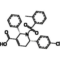 Cc1ccccc1S(=O)(=O)N1[C@@H](c2ccccc2)C(C(=O)O)=CC[C@H]1c1ccc(Cl)cc1